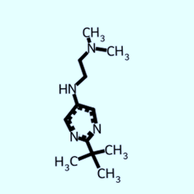 CN(C)CCNc1cnc(C(C)(C)C)nc1